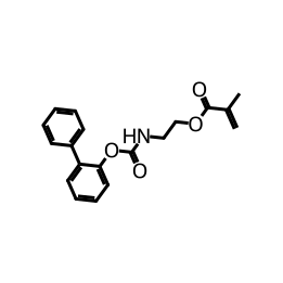 C=C(C)C(=O)OCCNC(=O)Oc1ccccc1-c1ccccc1